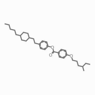 CCCCCC1CCC(CCc2ccc(OC(=O)c3ccc(OCCCC(C)CC)cc3)cc2)CC1